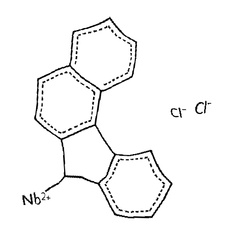 [Cl-].[Cl-].[Nb+2][CH]1c2ccccc2-c2c1ccc1ccccc21